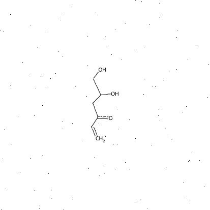 C=CC(=O)CC(O)CO